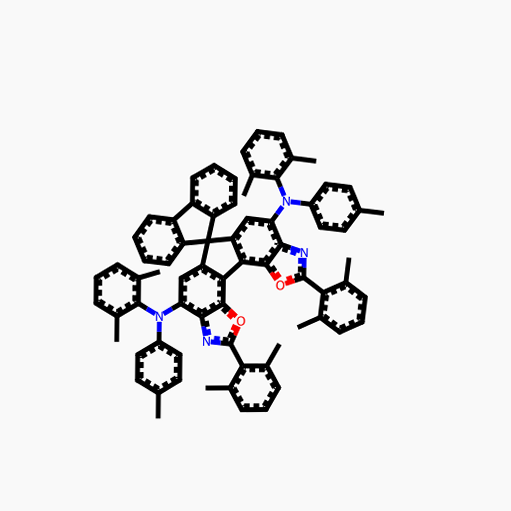 Cc1ccc(N(c2c(C)cccc2C)c2cc3c(c4oc(-c5c(C)cccc5C)nc24)-c2c(cc(N(c4ccc(C)cc4)c4c(C)cccc4C)c4nc(-c5c(C)cccc5C)oc24)C32c3ccccc3-c3ccccc32)cc1